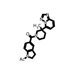 CC(=O)N1CCc2cc(C(=O)N3CCCC(C)(c4cccc5ncnn45)C3)ccc21